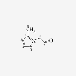 Cc1ccsc1CC=O